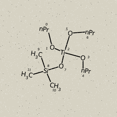 CCC[O][Ti]([O]CCC)([O]CCC)[O][Si](C)(C)C